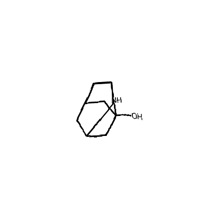 OC12CC3CC(CC(C3)N1)C2